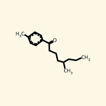 CCCC(C)CCCC(=O)c1ccc(C)cc1